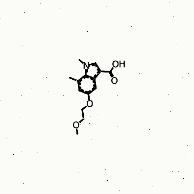 COCCOc1cc(C)c2c(c1)c(C(=O)O)cn2C